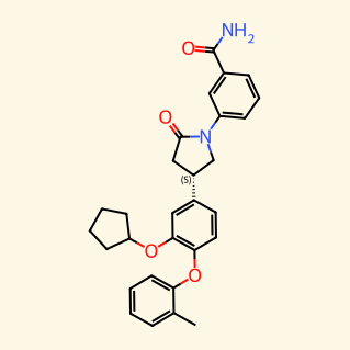 Cc1ccccc1Oc1ccc([C@@H]2CC(=O)N(c3cccc(C(N)=O)c3)C2)cc1OC1CCCC1